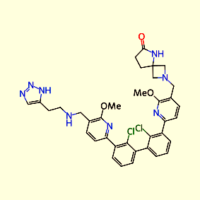 COc1nc(-c2cccc(-c3cccc(-c4ccc(CN5CC6(CCC(=O)N6)C5)c(OC)n4)c3Cl)c2Cl)ccc1CNCCc1cnn[nH]1